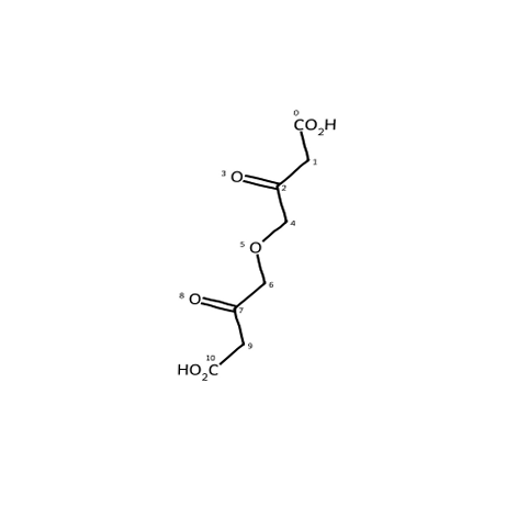 O=C(O)CC(=O)COCC(=O)CC(=O)O